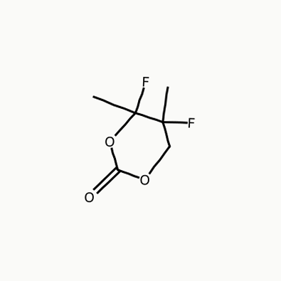 CC1(F)COC(=O)OC1(C)F